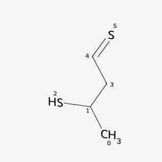 CC(S)CC=S